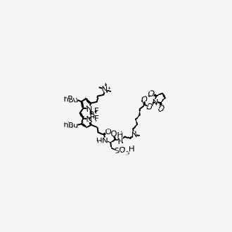 CCCCC1=CC(CCC(=O)NC(CS(=O)(=O)O)C(=O)NCCN(C)CCCCCC(=O)ON2C(=O)CCC2=O)=[N+]2C1=Cc1c(CCCC)cc(CCC[N+](C)(C)C)n1[B-]2(F)F